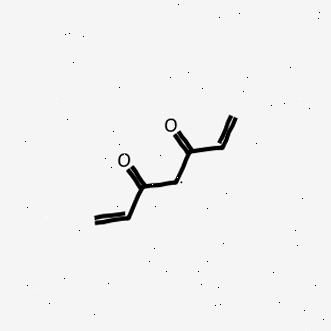 C=CC(=O)[CH]C(=O)C=C